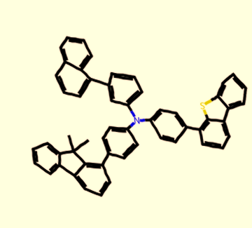 CC1(C)c2ccccc2-c2cccc(-c3ccc(N(c4ccc(-c5cccc6c5sc5ccccc56)cc4)c4cccc(-c5cccc6ccccc56)c4)cc3)c21